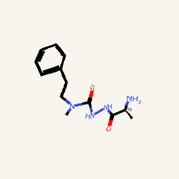 C[C@H](N)C(=O)NNC(=O)N(C)CCc1ccccc1